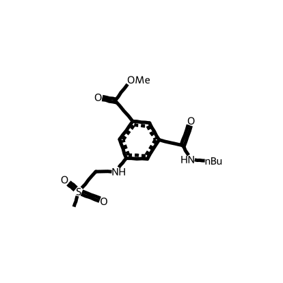 CCCCNC(=O)c1cc(NCS(C)(=O)=O)cc(C(=O)OC)c1